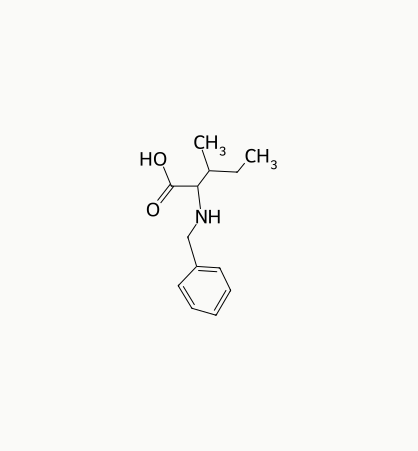 CCC(C)C(NCc1ccccc1)C(=O)O